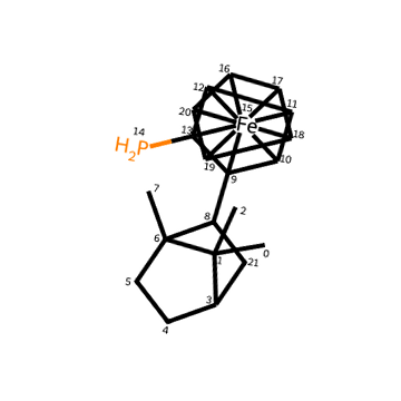 CC1(C)C2CCC1(C)C([C]13[CH]4[CH]5[CH]6[C]1(P)[Fe]56431789[CH]3[CH]1[CH]7[CH]8[CH]39)C2